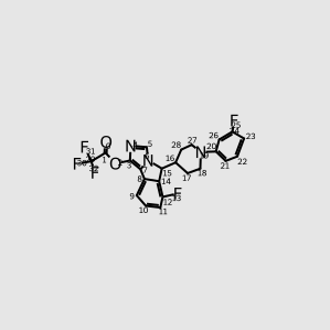 O=C(Oc1ncn2c1-c1cccc(F)c1C2C1CCN(c2cccc(F)c2)CC1)C(F)(F)F